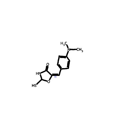 CN(C)c1ccc(/C=C2/OC(S)NC2=O)cc1